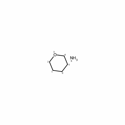 C1CCOCC1.N